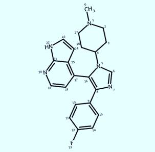 CN1CCC(n2cnc(-c3ccc(F)cc3)c2-c2ccnc3[nH]ccc23)CC1